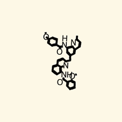 COc1ccc(C(=O)Nc2cc(Cc3ccc4cccc(NC(=O)c5ccccc5OC)c4n3)cc3ccc(C)nc23)cc1